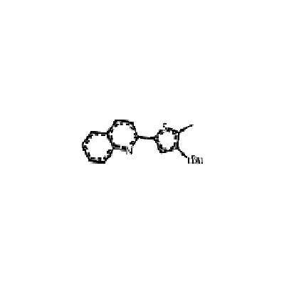 Cc1sc(-c2ccc3ccccc3n2)cc1C(C)(C)C